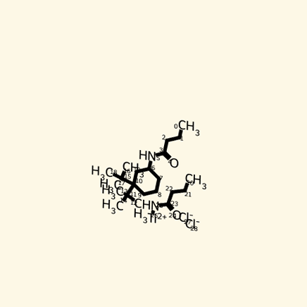 CCCC(=O)NC1CCCC(C(C)(C)C)(C(C)(C)C)C1.CCCC(=O)[NH][Ti+2].[Cl-].[Cl-]